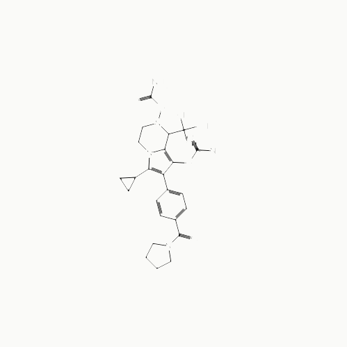 CC(C)(C)C1c2c(OC(N)=O)c(-c3ccc(C(=O)N4CCCC4)cc3)c(C3CC3)n2CCN1OC(N)=O